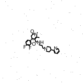 CC1=C(C(=O)NCCCN2CCC(c3ccccn3)CC2)[C@@H](c2ccc(F)c(F)c2)CC(=O)N1C